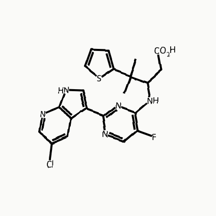 CC(C)(c1cccs1)C(CC(=O)O)Nc1nc(-c2c[nH]c3ncc(Cl)cc23)ncc1F